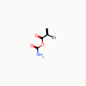 C=C(CC)C(=O)OC(N)=O